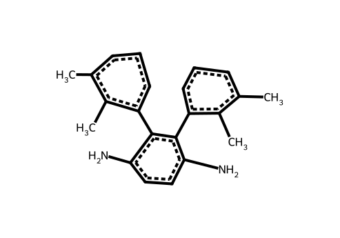 Cc1cccc(-c2c(N)ccc(N)c2-c2cccc(C)c2C)c1C